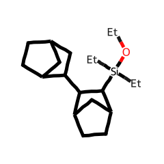 CCO[Si](CC)(CC)C1C2CCC(C2)C1C1CC2CCC1C2